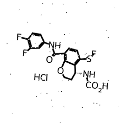 Cl.O=C(O)N[C@@H]1CCOc2c(C(=O)Nc3ccc(F)c(F)c3)ccc(SF)c21